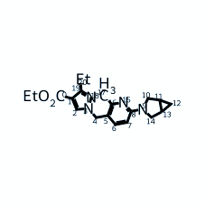 CCOC(=O)c1cn(Cc2ccc(N3CC4CC4C3)nc2C)nc1CC